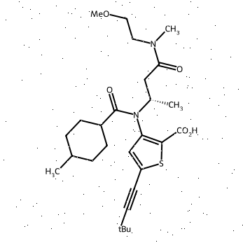 COCCN(C)C(=O)C[C@H](C)N(C(=O)C1CCC(C)CC1)c1cc(C#CC(C)(C)C)sc1C(=O)O